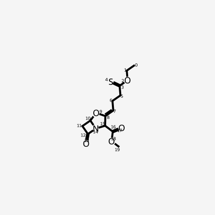 CCOC(=S)CCC=C1OC2CC(=O)N2C1C(=O)OC